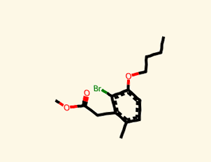 CCCCOc1ccc(C)c(CC(=O)OC)c1Br